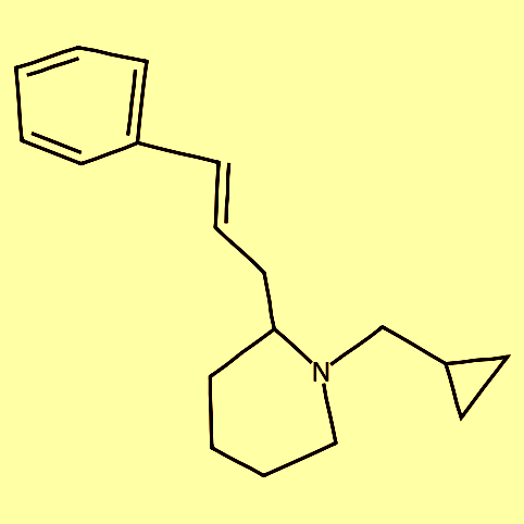 C(=Cc1ccccc1)CC1CCCCN1CC1CC1